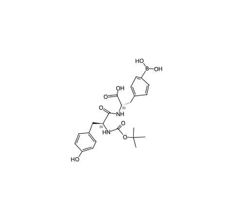 CC(C)(C)OC(=O)N[C@@H](Cc1ccc(O)cc1)C(=O)N[C@@H](Cc1ccc(B(O)O)cc1)C(=O)O